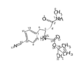 CNC(=O)C[C@@H](Cc1ccc(C#N)cc1)NC(=O)OC(C)(C)C